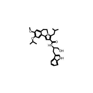 COc1cc2c(cc1OC(C)C)-c1cc(C(=O)NC(CO)Cc3c[nH]c4ccccc34)c(CC(C)C)n1CC2